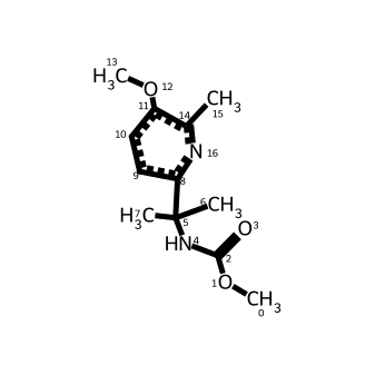 COC(=O)NC(C)(C)c1ccc(OC)c(C)n1